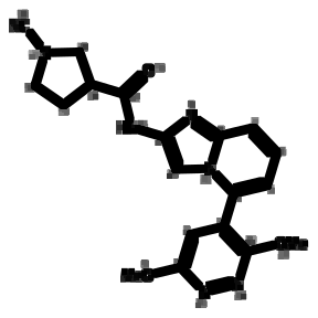 COc1cc(-c2cccc3nc(NC(=O)C4CCN(C#N)C4)cn23)c(OC)nn1